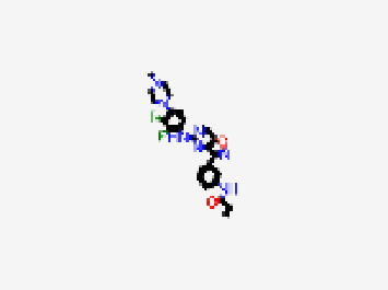 C=CC(=O)Nc1cccc(-c2noc3cnc(Nc4ccc(N5CCN(C)CC5)c(F)c4F)nc23)c1